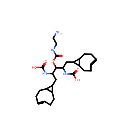 NCCNC(=O)OC(C(CC1C2CC/C=C/CCC21)NC(=O)O)C(CC1C2CC/C=C/CCC21)NC(=O)O